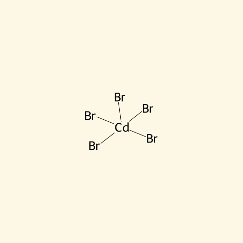 [Br][Cd]([Br])([Br])([Br])[Br]